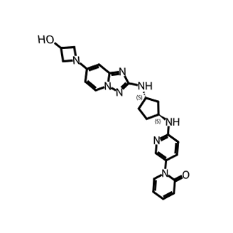 O=c1ccccn1-c1ccc(N[C@H]2CC[C@H](Nc3nc4cc(N5CC(O)C5)ccn4n3)C2)nc1